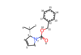 CC(C)[C@H]1C=CCN1C(=O)OCc1ccccc1